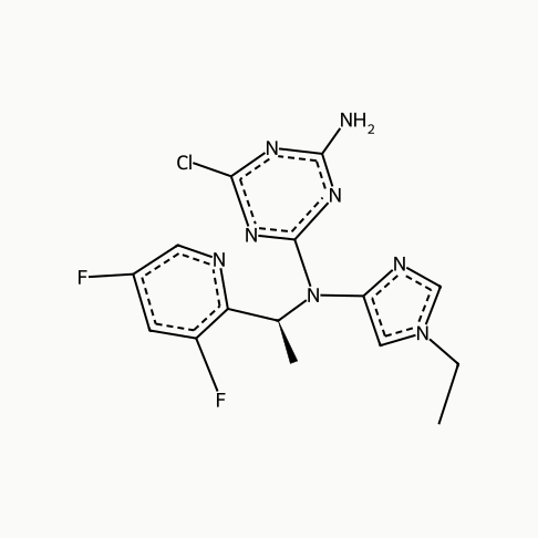 CCn1cnc(N(c2nc(N)nc(Cl)n2)[C@@H](C)c2ncc(F)cc2F)c1